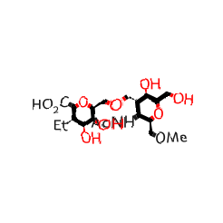 CC[C@@H]1C(C(=O)O)O[C@@H](COC[C@H]2C(NC(C)=O)[C@H](COC)OC(CO)[C@H]2O)C(O)[C@@H]1O